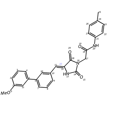 COc1cccc(-c2cccc(/C=C3\NC(=O)N(CC(=O)Nc4ccc(C)cc4)C3=O)c2)c1